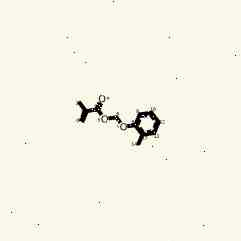 C=C(C)C(=O)OCOc1ccccc1C